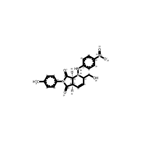 Cc1ccc(N2C(=O)[C@@H]3[C@@H](C=CC(CO)N3Nc3ccc([N+](=O)[O-])cc3)C2=O)cc1